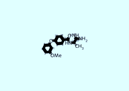 COc1cccc(Oc2ccc(C(=O)N[C@H](C)C(=N)N)cc2)c1